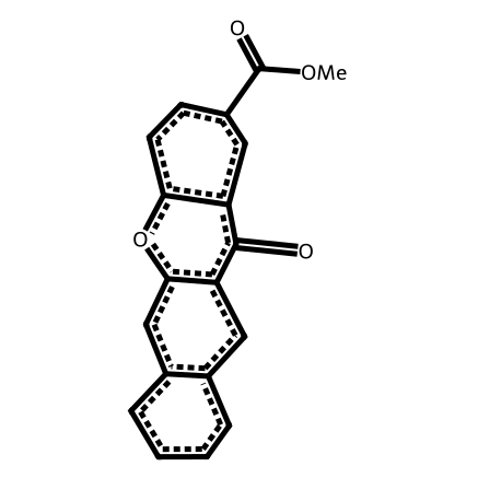 COC(=O)c1ccc2oc3cc4ccccc4cc3c(=O)c2c1